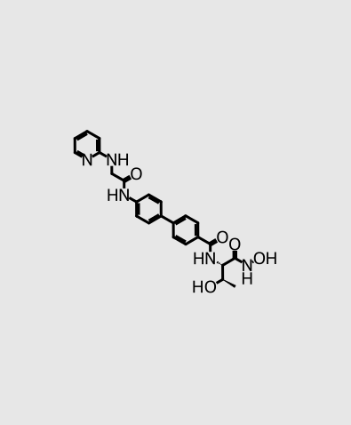 C[C@@H](O)[C@H](NC(=O)c1ccc(-c2ccc(NC(=O)CNc3ccccn3)cc2)cc1)C(=O)NO